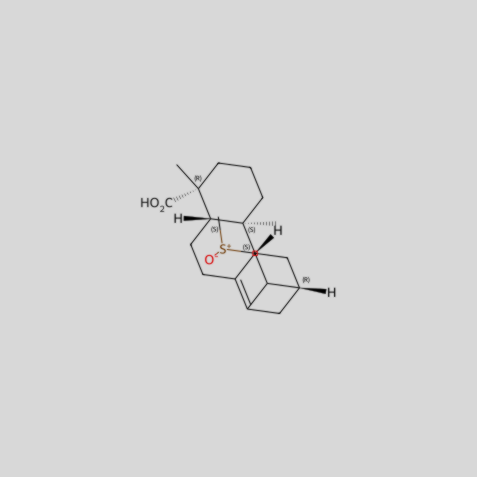 C[S+]([O-])CC1C2=C3CC[C@H]4[C@@](C)(CCC[C@@]4(C)C(=O)O)[C@@H]3C[C@@H]1C2